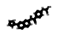 O=C(Nc1cc2cc(-c3nncs3)ncc2cn1)c1ccc(OC(F)F)cc1